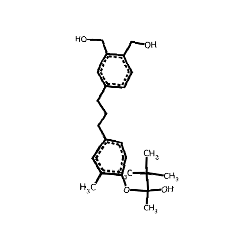 Cc1cc(CCCc2ccc(CO)c(CO)c2)ccc1OC(C)(O)C(C)(C)C